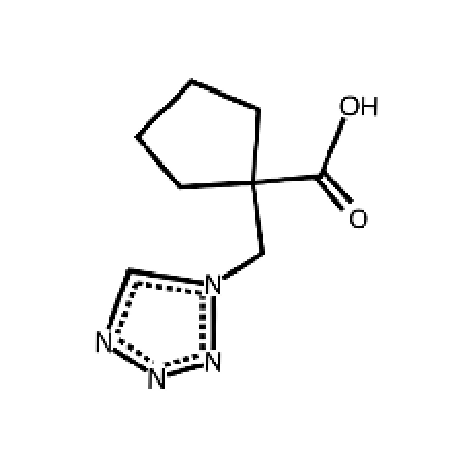 O=C(O)C1(Cn2cnnn2)CCCC1